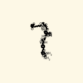 CC(C)[C@H](NC(=O)CCCCCN1C(=O)C=CC1=O)C(=O)N[C@@H](C)C(=O)Nc1ccc(C(=O)NCCC[C@H](NC(=O)c2ccc(CCc3ccc4nc(N)nc(N)c4c3F)cc2)C(=O)O)c(-c2nnn[nH]2)c1